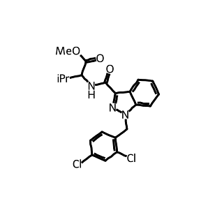 COC(=O)C(NC(=O)c1nn(Cc2ccc(Cl)cc2Cl)c2ccccc12)C(C)C